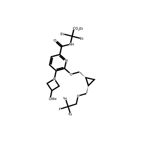 [2H]C([2H])(F)COC[C@H]1C[C@H]1COc1nc(C(=O)NC(CC)(CC)C(=O)OCC)ccc1N1CC(OC)C1